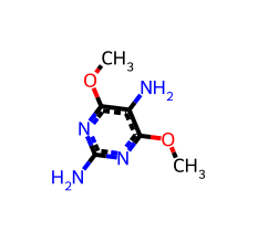 COc1nc(N)nc(OC)c1N